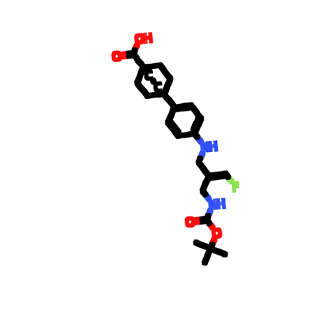 CC(C)(C)OC(=O)NCC(=CF)CNc1ccc(C23CCC(C(=O)O)(CC2)CC3)cc1